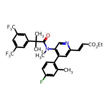 CCOC(=O)/C=C/c1cc(-c2ccc(F)cc2C)c(N(C)C(=O)C(C)(C)c2cc(C(F)(F)F)cc(C(F)(F)F)c2)cn1